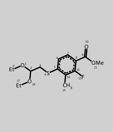 CCOC(CSc1ccc(C(=O)OC)c(F)c1C)OCC